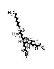 CCCCCCCCOC(=O)C(N)CCC(=O)NC(CCC(=O)C=[N+]=[N-])C(=O)NC(CCC(=O)C=[N+]=[N-])C(=O)O